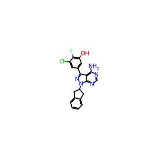 Nc1ncnc2c1c(-c1cc(O)c(F)c(Cl)c1)nn2C1Cc2ccccc2C1